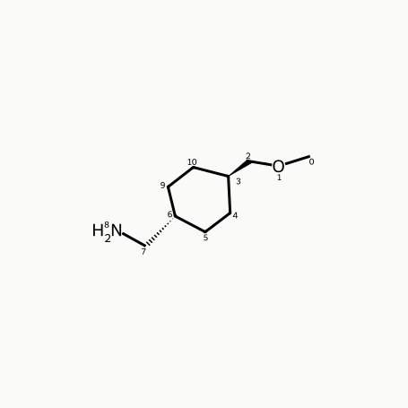 COC[C@H]1CC[C@H](CN)CC1